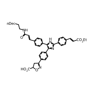 CCCCCCCCCCCCNC(=O)/C=C/c1ccc(-c2[nH]c(-c3ccc(/C=C/C(=O)OCC)cc3)nc2-c2ccc(C3=NOC(C(=O)O)C3)cc2)cc1